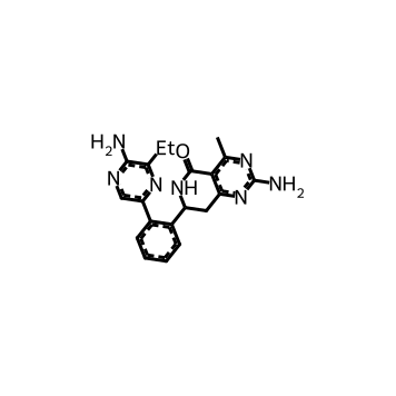 CCc1nc(-c2ccccc2C2Cc3nc(N)nc(C)c3C(=O)N2)cnc1N